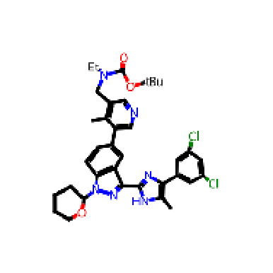 CCN(Cc1cncc(-c2ccc3c(c2)c(-c2nc(-c4cc(Cl)cc(Cl)c4)c(C)[nH]2)nn3C2CCCCO2)c1C)C(=O)OC(C)(C)C